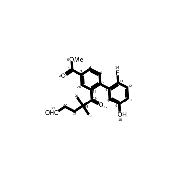 COC(=O)c1ccc(-c2cc(O)ccc2F)c(C(=O)C(C)(C)CCC=O)c1